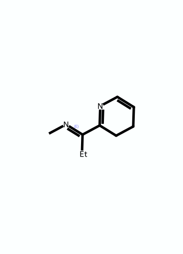 CC/C(=N\C)C1=NC=CCC1